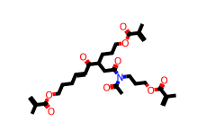 C=C(C)C(=O)OCCC/C=C/C(=O)C(CCCOC(=O)C(=C)C)CC(=O)N(CCCOC(=O)C(=C)C)C(C)=O